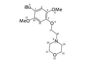 CCC(C)c1cc(OC)c(OCCN2CCOCC2)cc1OC